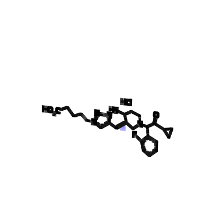 Cl.O=C(O)CCCCn1cc(/C=C2/CN(C(C(=O)C3CC3)c3ccccc3F)CCC2S)nn1